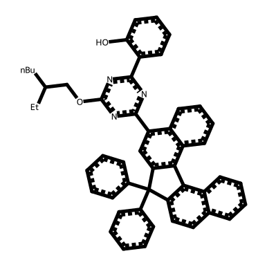 CCCCC(CC)COc1nc(-c2ccccc2O)nc(-c2cc3c(c4ccccc24)-c2c(ccc4ccccc24)C3(c2ccccc2)c2ccccc2)n1